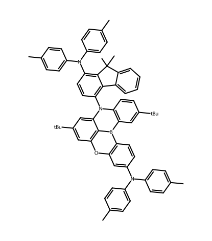 Cc1ccc(N(c2ccc(C)cc2)c2ccc3c(c2)Oc2cc(C(C)(C)C)cc4c2B3c2cc(C(C)(C)C)ccc2N4c2ccc(N(c3ccc(C)cc3)c3ccc(C)cc3)c3c2-c2ccccc2C3(C)C)cc1